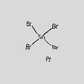 [Br][Sn]([Br])([Br])[Br].[Pt]